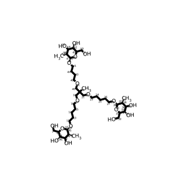 C[C@H]1C(O)[C@@H](O)C(CO)O[C@H]1OCCCCCOCC(C)(COCCCCCO[C@@H]1OC(CO)[C@H](O)C(O)[C@@H]1C)COCCCCO[C@@H]1OC(CO)[C@H](O)C(O)[C@@H]1C